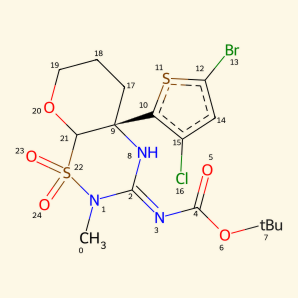 CN1/C(=N/C(=O)OC(C)(C)C)N[C@@]2(c3sc(Br)cc3Cl)CCCOC2S1(=O)=O